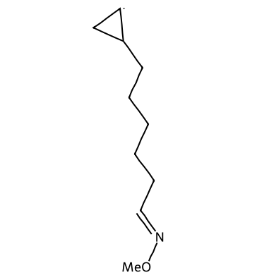 CON=CCCCCCC1[CH]C1